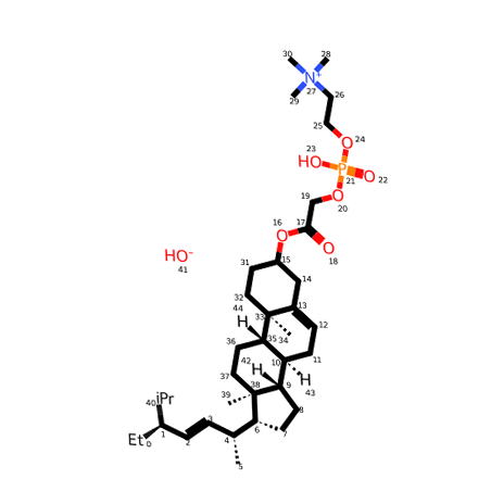 CC[C@H](/C=C/[C@@H](C)[C@H]1CC[C@H]2[C@@H]3CC=C4CC(OC(=O)COP(=O)(O)OCC[N+](C)(C)C)CC[C@]4(C)[C@H]3CC[C@]12C)C(C)C.[OH-]